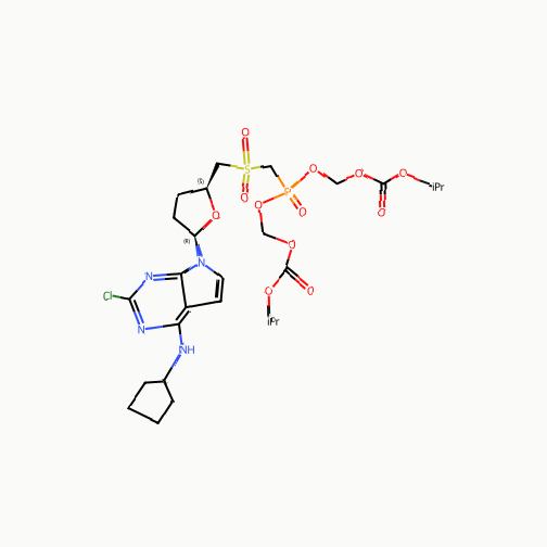 CC(C)OC(=O)OCOP(=O)(CS(=O)(=O)C[C@@H]1CC[C@H](n2ccc3c(NC4CCCC4)nc(Cl)nc32)O1)OCOC(=O)OC(C)C